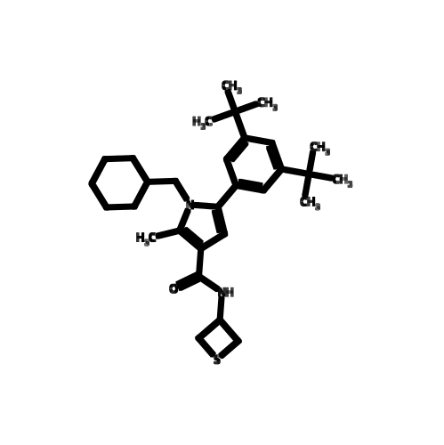 Cc1c(C(=O)NC2CSC2)cc(-c2cc(C(C)(C)C)cc(C(C)(C)C)c2)n1CC1CCCCC1